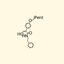 CCC[C@H](C)COc1ccc(C(=CO)C(=O)NCCc2ccccc2)cc1